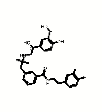 CC(C)(Cc1cccc(C(=O)NCCc2ccc(F)c(F)c2)c1)NC[C@@H](O)c1ccc(O)c(CO)c1